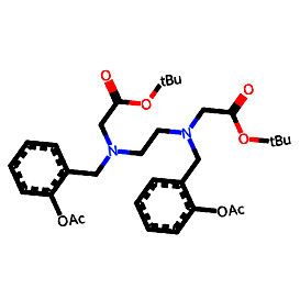 CC(=O)Oc1ccccc1CN(CCN(CC(=O)OC(C)(C)C)Cc1ccccc1OC(C)=O)CC(=O)OC(C)(C)C